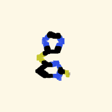 [S]c1nccc(Sc2cnccn2)n1